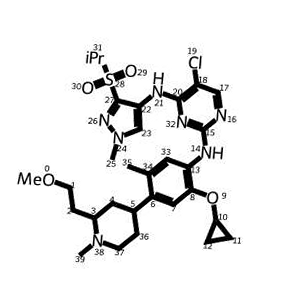 COCCC1CC(c2cc(OC3CC3)c(Nc3ncc(Cl)c(Nc4cn(C)nc4S(=O)(=O)C(C)C)n3)cc2C)CCN1C